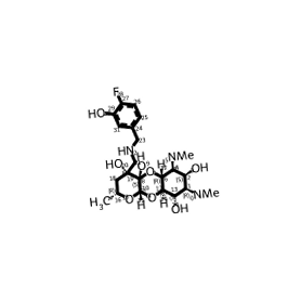 CN[C@@H]1[C@H](O)[C@H](NC)[C@H]2O[C@]3(O)[C@H](O[C@@H]2[C@H]1O)O[C@H](C)C[C@@]3(O)CNCc1ccc(F)c(O)c1